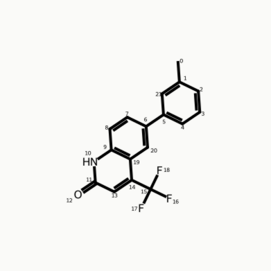 Cc1cccc(-c2ccc3[nH]c(=O)cc(C(F)(F)F)c3c2)c1